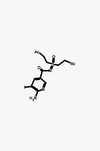 CC(=O)CCS(=O)(CCC(C)=O)=NC(=O)c1cnc(N)c(I)c1